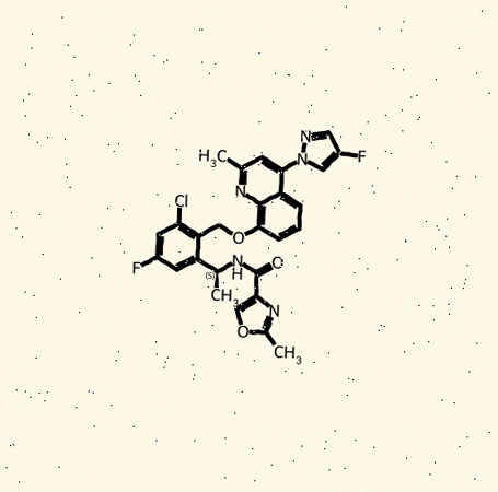 Cc1cc(-n2cc(F)cn2)c2cccc(OCc3c(Cl)cc(F)cc3[C@H](C)NC(=O)c3coc(C)n3)c2n1